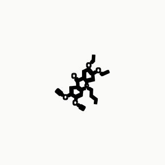 C#COc1cc2c(=O)c3cc(OCC)c(OCC)cc3n(CCCC)c2cc1OC#C